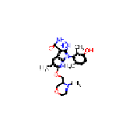 Cc1cc2c(C(N)=O)c(N)n(-c3c(C)ccc(O)c3C)c2nc1OC[C@@H]1COCCN1C